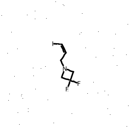 FC1(F)CN(C/C=C\I)C1